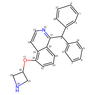 c1ccc(C(c2ccccc2)c2nccc3c(OC4CNC4)cccc23)cc1